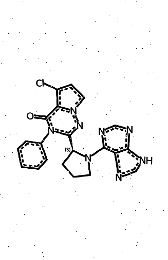 O=c1c2c(Cl)ccn2nc([C@@H]2CCCN2c2ncnc3[nH]cnc23)n1-c1ccccc1